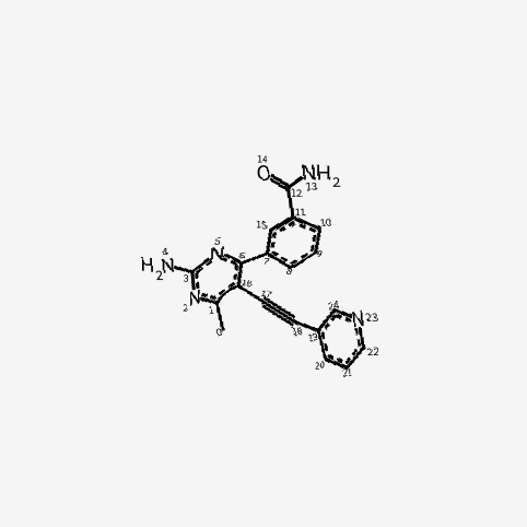 Cc1nc(N)nc(-c2cccc(C(N)=O)c2)c1C#Cc1cccnc1